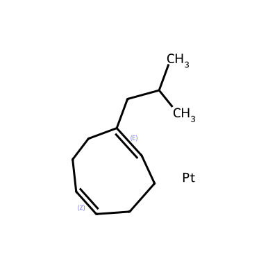 CC(C)C/C1=C/CC/C=C\CC1.[Pt]